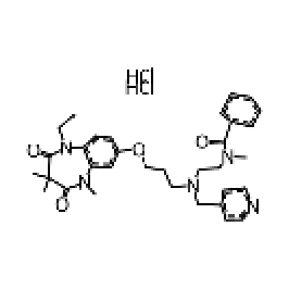 CCN1C(=O)C(C)(C)C(=O)N(C)c2cc(OCCCN(CCN(C)C(=O)c3ccccc3)Cc3ccncc3)ccc21.Cl.Cl